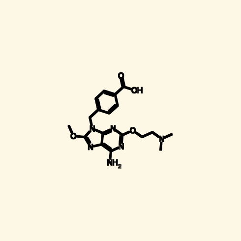 COc1nc2c(N)nc(OCCN(C)C)nc2n1Cc1ccc(C(=O)O)cc1